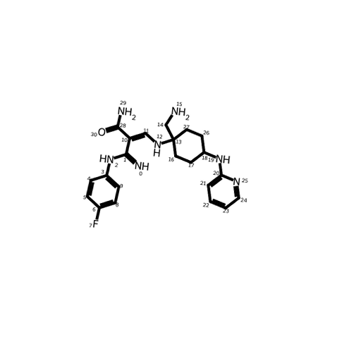 N=C(Nc1ccc(F)cc1)/C(=C\NC1(CN)CCC(Nc2ccccn2)CC1)C(N)=O